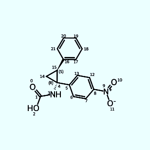 O=C(O)N[C@]1(c2ccc([N+](=O)[O-])cc2)C[C@H]1c1ccccc1